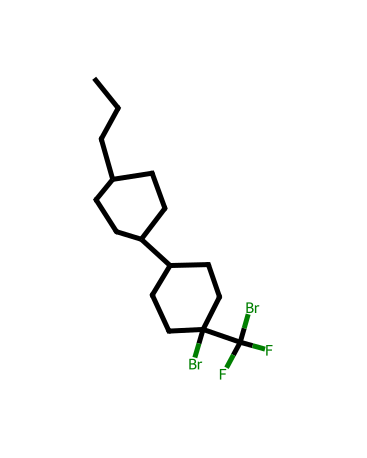 CCCC1CCC(C2CCC(Br)(C(F)(F)Br)CC2)CC1